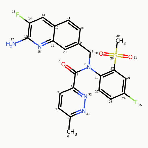 Cc1ccc(C(=O)N(Cc2ccc3cc(F)c(N)nc3c2)c2ccc(F)cc2S(C)(=O)=O)nn1